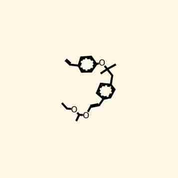 C=Cc1ccc(OC(C)(C)Cc2ccc(C=COC(C)OCC)cc2)cc1